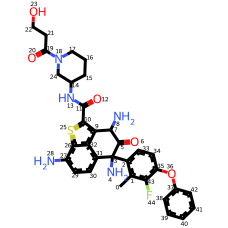 Cc1c(C2(N)C(=O)C(N)c3c(C(=O)NC4CCCN(C(=O)CCO)C4)sc4c(N)ccc2c34)ccc(Oc2ccccc2)c1F